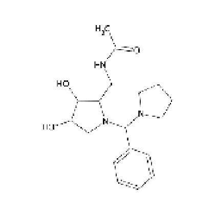 CC(=O)NCC1C(O)C(O)CN1C(c1ccccc1)N1CCCC1